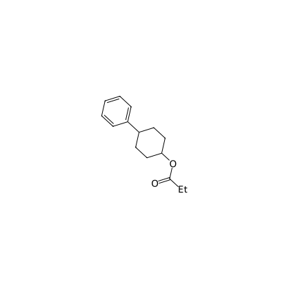 CCC(=O)OC1CCC(c2ccccc2)CC1